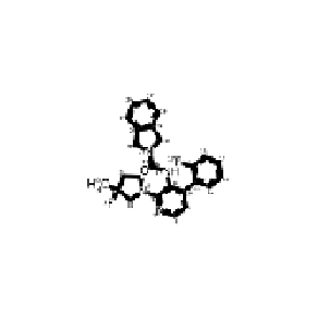 CC1(F)CCN(c2nccc(-c3ccccc3F)c2NC(=O)N2Cc3ccccc3C2)C1